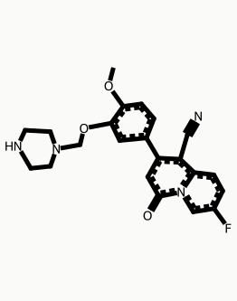 COc1ccc(-c2cc(=O)n3cc(F)ccc3c2C#N)cc1OCN1CCNCC1